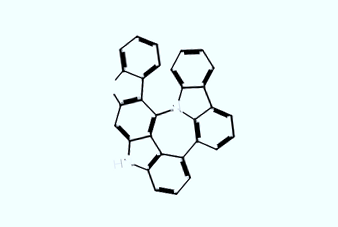 c1ccc2c(c1)oc1cc3[nH]c4cccc5c6cccc7c8ccccc8n(c67)c(c12)c3c45